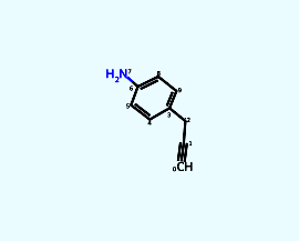 C#C[CH]c1ccc(N)cc1